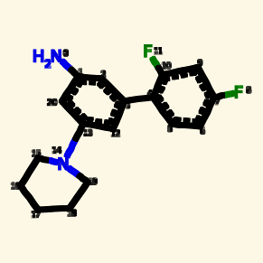 Nc1cc(-c2ccc(F)cc2F)cc(N2CCCCC2)c1